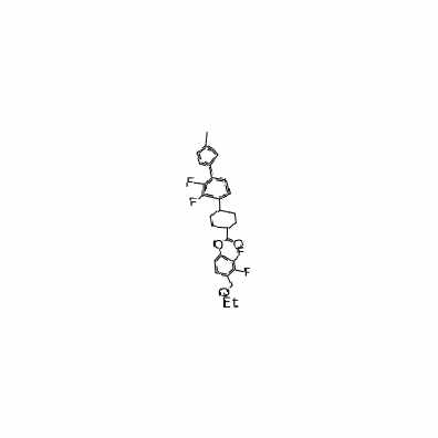 CCOCc1ccc(OC(=O)C2CCC(c3ccc(-c4ccc(C)cc4)c(F)c3F)CC2)c(F)c1F